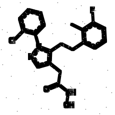 Cc1c(F)cccc1CCc1c(CC(=O)NO)cnn1-c1ccccc1Cl